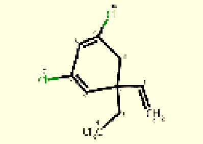 C=CC1(CC(Cl)(Cl)Cl)C=C(Cl)C=C(Cl)C1